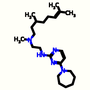 CC(C)=CCCC(C)CCN(C)CCNc1nccc(N2CCCCCC2)n1